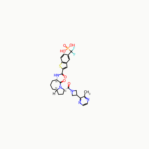 Cc1nccnc1C1CN(C(=O)[C@@H]2CC[C@@H]3CCC[C@H](NC(=O)c4cc5cc(C(F)(F)P(=O)(O)O)ccc5s4)C(=O)N32)C1